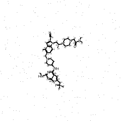 CNc1nc(NC2CCN(Cc3ccc4c(cc(C#N)n4C[C@H](C)N4CCN(CC(=O)N(C)C)CC4)c3C)CC2)c2cc(CC(F)(F)F)sc2n1